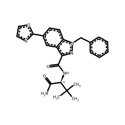 CC(C)(C)[C@H](NC(=O)c1nn(Cc2ccccc2)c2ccc(-c3ncco3)cc12)C(N)=O